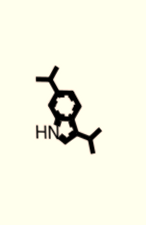 CC(C)c1ccc2c(C(C)C)c[nH]c2c1